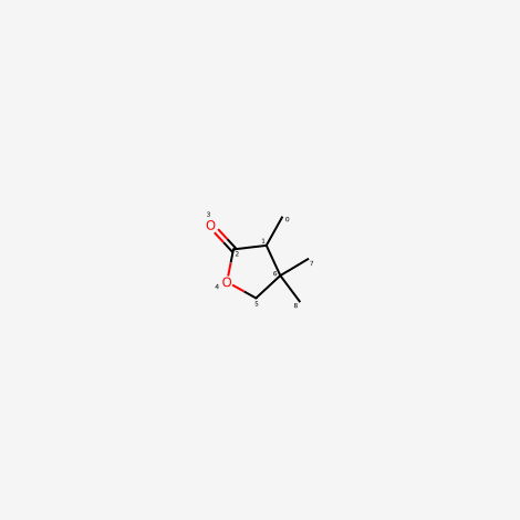 CC1C(=O)OCC1(C)C